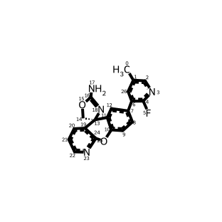 Cc1cnc(F)c(-c2ccc3c(c2)[C@@]2(COC(N)=N2)c2cccnc2O3)c1